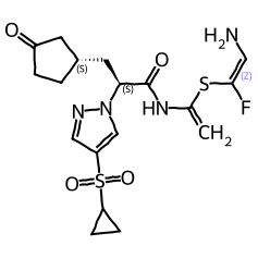 C=C(NC(=O)[C@H](C[C@@H]1CCC(=O)C1)n1cc(S(=O)(=O)C2CC2)cn1)S/C(F)=C\N